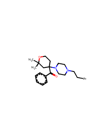 CC(C)CCN1CCN(C2(C(=O)c3ccccc3)CCOC(C)(C)C2)CC1